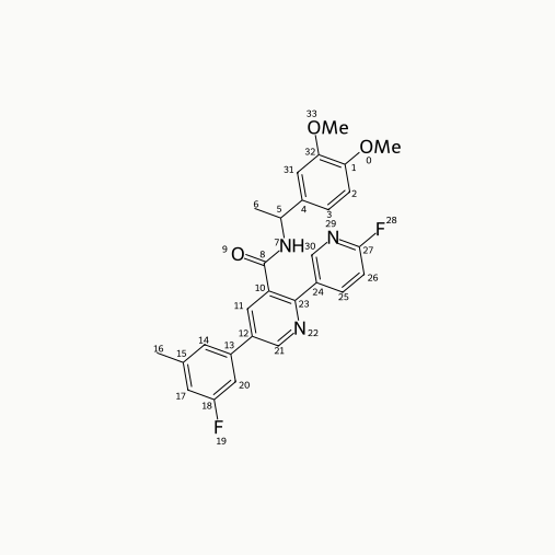 COc1ccc(C(C)NC(=O)c2cc(-c3cc(C)cc(F)c3)cnc2-c2ccc(F)nc2)cc1OC